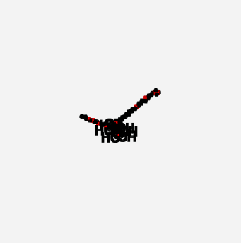 CCCCCCCCCCCCCC[C@@H](O)[C@@H](O)[C@H](COC1OC(CO)C(O)C(O)C1O)NC(=O)CCCCCCCCCCCCCCCCCCCCCCCC12CC(C)(C1)C2